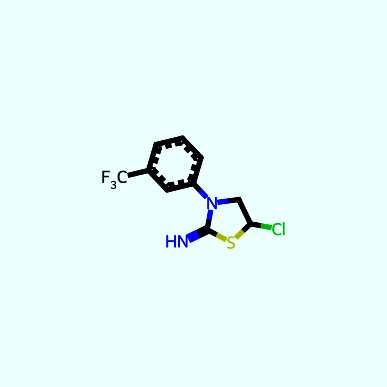 N=C1SC(Cl)CN1c1cccc(C(F)(F)F)c1